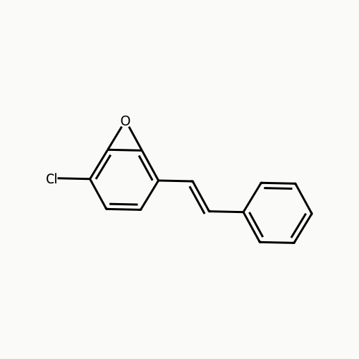 Clc1ccc(C=Cc2ccccc2)c2c1O2